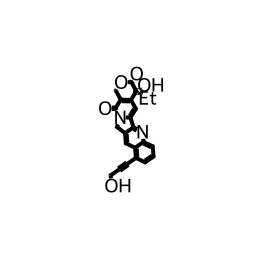 CC[C@@]1(O)C(=O)OCc2c1cc1n(c2=O)Cc2cc3c(C#CCO)cccc3nc2-1